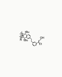 CCC(=CCO)c1cccc(CCc2ccc(C(O[SiH](C)C)C(C)(C)C)c(C(O[SiH](C)C)C(C)(C)C)c2)c1